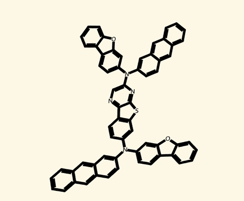 c1ccc2cc3cc(N(c4ccc5c(c4)oc4ccccc45)c4ccc5c(c4)sc4nc(N(c6ccc7cc8ccccc8cc7c6)c6ccc7c(c6)oc6ccccc67)cnc45)ccc3cc2c1